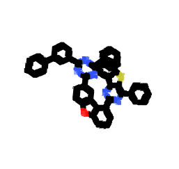 C1=CC2Oc3ccc(-c4nc(-c5ccccc5)nc(-c5cccc(-c6ccccc6)c5)n4)cc3C2C(c2nc(-c3ccccc3)c3sc4ccccc4c3n2)=C1